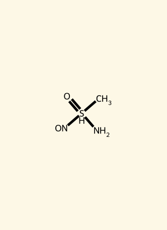 C[SH](N)(=O)N=O